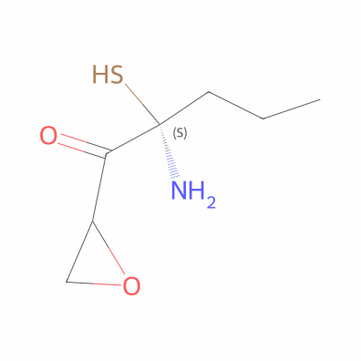 CCC[C@](N)(S)C(=O)C1CO1